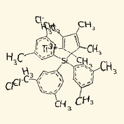 CC1=C(C)C(C)([Si](c2cc(C)cc(C)c2)(c2cc(C)cc(C)c2)c2cc(C)cc(C)c2)[C]([Ti+3])=C1C.[Cl-].[Cl-].[Cl-]